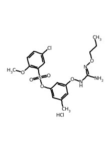 CCCON=C(N)NOc1cc(C)cc(OS(=O)(=O)c2cc(Cl)ccc2OC)c1.Cl